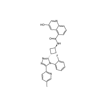 Cc1ccc(-c2nnc([C@H]3C[C@H](NC(=O)c4cccc5ncc(O)cc45)C3)n2-c2ccccc2F)nc1